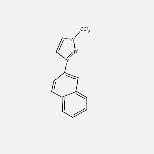 ClC(Cl)(Cl)n1ccc(-c2ccc3ccccc3c2)n1